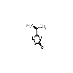 C=C(C)c1noc(=O)o1